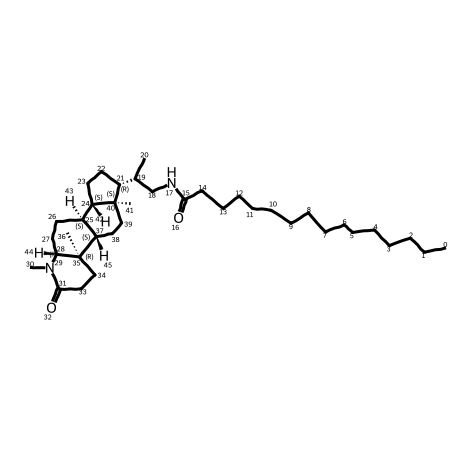 CCCCCCCCCCCCCCCC(=O)NCC(C)[C@H]1CC[C@H]2[C@@H]3CC[C@H]4N(C)C(=O)CC[C@]4(C)[C@H]3CC[C@]12C